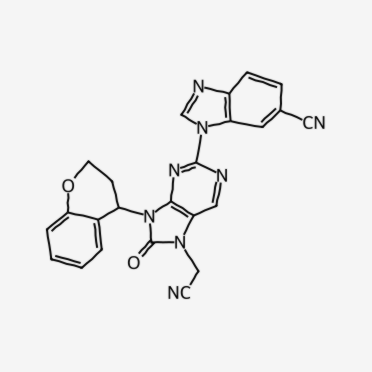 N#CCn1c(=O)n(C2CCOc3ccccc32)c2nc(-n3cnc4ccc(C#N)cc43)ncc21